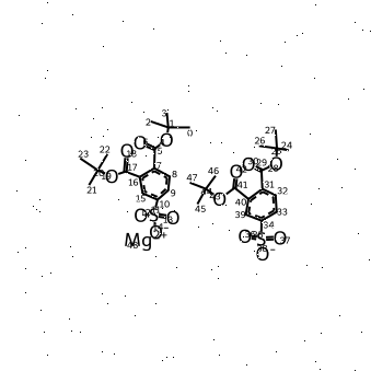 CC(C)(C)OC(=O)c1ccc(S(=O)(=O)[O-])cc1C(=O)OC(C)(C)C.CC(C)(C)OC(=O)c1ccc(S(=O)(=O)[O-])cc1C(=O)OC(C)(C)C.[Mg+2]